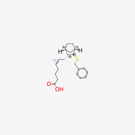 O=C(O)CCC/C=C\C[C@@H]1[C@@H]2CC[C@@H](C2)[C@H]1SCc1ccccc1